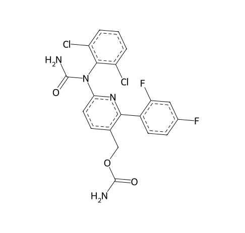 NC(=O)OCc1ccc(N(C(N)=O)c2c(Cl)cccc2Cl)nc1-c1ccc(F)cc1F